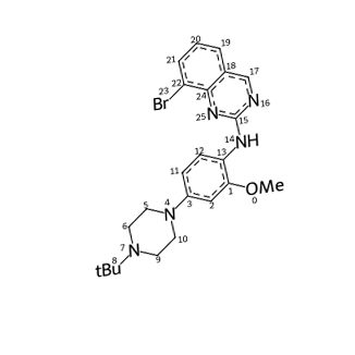 COc1cc(N2CCN(C(C)(C)C)CC2)ccc1Nc1ncc2cccc(Br)c2n1